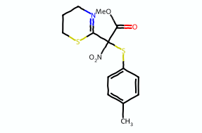 COC(=O)C(Sc1ccc(C)cc1)(C1=NCCCS1)[N+](=O)[O-]